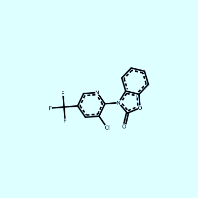 O=c1oc2ccccc2n1-c1ncc(C(F)(F)F)cc1Cl